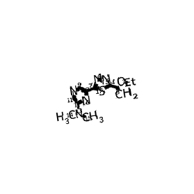 C=C(OCC)c1nnc(-c2cncc(N(C)C)n2)s1